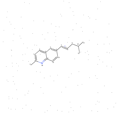 Cc1ccc2cc(/C=C/CC(C)C)ccc2n1